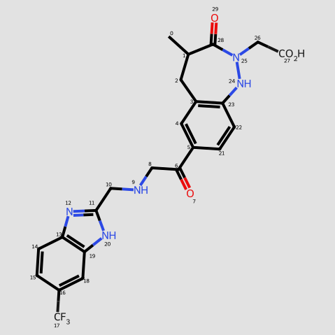 CC1Cc2cc(C(=O)CNCc3nc4ccc(C(F)(F)F)cc4[nH]3)ccc2NN(CC(=O)O)C1=O